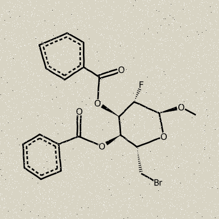 CO[C@H]1O[C@H](CBr)[C@@H](OC(=O)c2ccccc2)[C@@H](OC(=O)c2ccccc2)[C@@H]1F